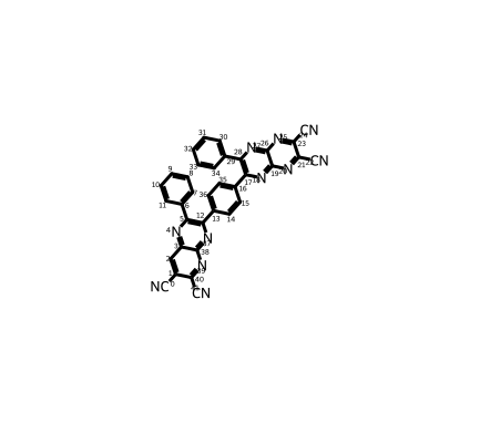 N#Cc1cc2nc(-c3ccccc3)c(-c3ccc(-c4nc5nc(C#N)c(C#N)nc5nc4-c4ccccc4)cc3)nc2nc1C#N